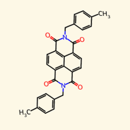 Cc1ccc(CN2C(=O)c3ccc4c5c(ccc(c35)C2=O)C(=O)N(Cc2ccc(C)cc2)C4=O)cc1